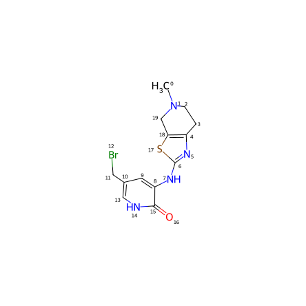 CN1CCc2nc(Nc3cc(CBr)c[nH]c3=O)sc2C1